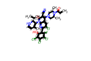 C=CC(=O)N1[C@H](C)CN(c2c(C#N)c(=O)n(C3=C(C)C=CN[C@@H]3C(C)C)c3nc(-c4c(O)c(Cl)c(Cl)c(Cl)c4F)c(Cl)cc23)C[C@@H]1C